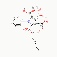 CCCCOC(=O)c1c(C(=O)O)c(C(=O)O)c(C(=O)O)n1-c1ccccc1